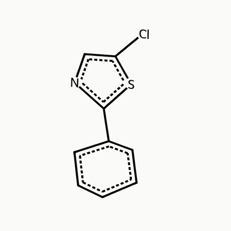 Clc1cnc(-c2ccccc2)s1